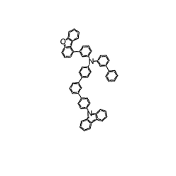 c1ccc(-c2cccc(N(c3ccc(-c4cccc(-c5ccc(-n6c7ccccc7c7ccccc76)cc5)c4)cc3)c3cccc(-c4cccc5oc6ccccc6c45)c3)c2)cc1